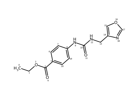 CCOC(=O)c1ccc(NC(=O)NCc2cocn2)cc1